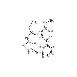 NCC(=O)NC1CN[C@H](C(=O)O)C1.NCc1ccc(-c2ccccc2)cc1